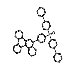 O=P(c1ccc(-c2ccccc2)cc1)(c1ccc(-c2ccccc2)cc1)c1ccc(-c2cc3c4ccccc4c4ccccc4c3c3ccccc23)cc1